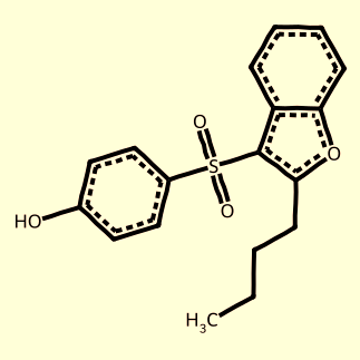 CCCCc1oc2ccccc2c1S(=O)(=O)c1ccc(O)cc1